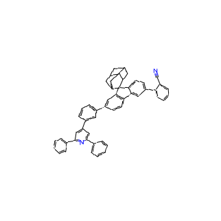 N#Cc1ccccc1-c1ccc2c(c1)-c1ccc(-c3cccc(-c4cc(-c5ccccc5)nc(-c5ccccc5)c4)c3)cc1C21C2CC3CC(C2)CC1C3